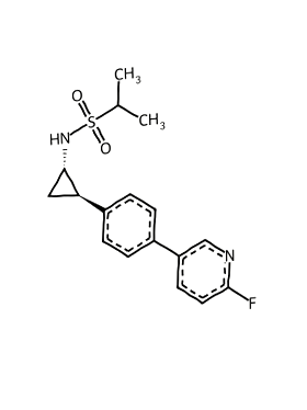 CC(C)S(=O)(=O)N[C@H]1C[C@@H]1c1ccc(-c2ccc(F)nc2)cc1